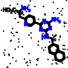 C[C@@H](Nc1nc(N)nc(-c2ccc(C[C@H](N)C(=O)O)nc2)n1)c1ccc2ccccc2c1